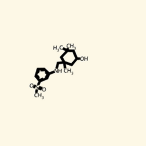 CC1(C)CC(O)CC(C)(CNc2cccc(S(C)(=O)=O)c2)C1